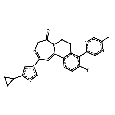 O=C1CN=C(n2cnc(C3CC3)c2)C=C2c3ccc(F)c(-c4cnc(F)cn4)c3CCN12